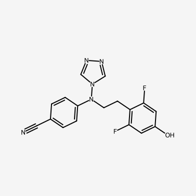 N#Cc1ccc(N(CCc2c(F)cc(O)cc2F)n2cnnc2)cc1